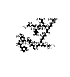 CC(C)C[C@H](NC(=O)[C@@H](CCCNC(=N)N)NC(=O)CCCCNC(=O)[C@H](CCCCNC(=N)N)NC(=O)[C@H](CCC(N)=O)NC(=O)[C@@H](CCCNC(=N)N)NC(=O)C(C)(C)C(N)=O)C(=O)NC(C)(C)C(=O)N[C@@H](Cc1c[nH]cn1)C(=O)N[C@@H](CC1CCNCC1)C(N)=O